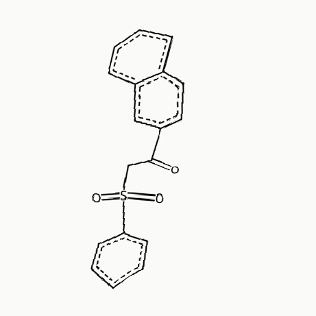 O=C(CS(=O)(=O)c1ccccc1)c1ccc2ccccc2c1